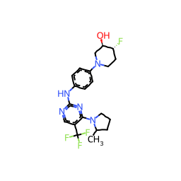 CC1CCCN1c1nc(Nc2ccc(N3CC[C@@H](F)[C@H](O)C3)cc2)ncc1C(F)(F)F